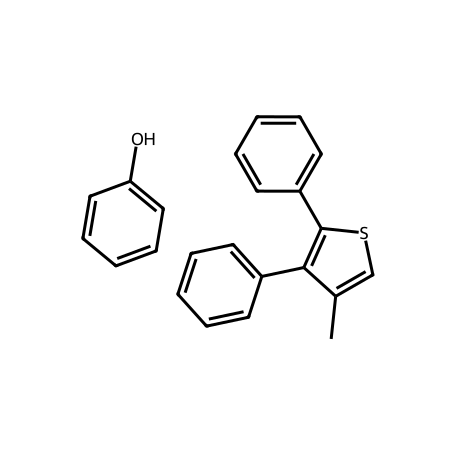 Cc1csc(-c2ccccc2)c1-c1ccccc1.Oc1ccccc1